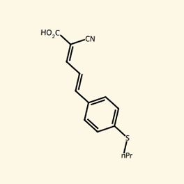 CCCSc1ccc(/C=C/C=C(\C#N)C(=O)O)cc1